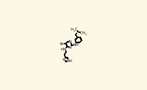 CN(C)Cc1cccc(Nc2ncc(Br)c(NCCc3c[nH]cn3)n2)c1